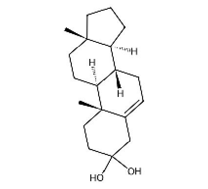 C[C@@]12CCC[C@H]1[C@@H]1CC=C3CC(O)(O)CC[C@]3(C)[C@H]1CC2